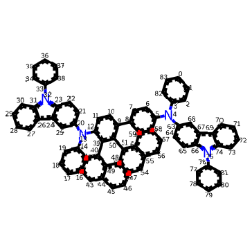 c1ccc(N(c2ccc(-c3ccc(N(c4ccccc4)c4ccc5c(c4)c4ccccc4n5-c4ccccc4)c(-c4cccc5ccccc45)c3-c3cccc4ccccc34)cc2)c2ccc3c(c2)c2ccccc2n3-c2ccccc2)cc1